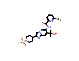 CCS(=O)(=O)N1CCC(c2cn3cc(NC(=O)c4cccc(C(F)(F)F)n4)c(C(C)(C)O)cc3n2)CC1